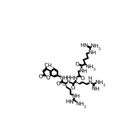 Cc1cc(=O)oc2cc(NC(=O)[C@H](CCCNC(=N)N)NC(=O)[C@H](CCCNC(=N)N)NC(=O)CNC(=O)[C@@H](N)CCCNC(=N)N)ccc12